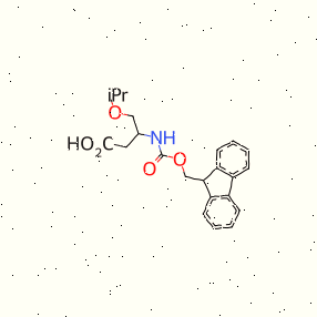 CC(C)OCC(CC(=O)O)NC(=O)OCC1c2ccccc2-c2ccccc21